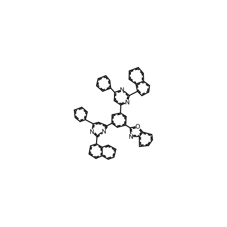 c1ccc(-c2cc(-c3cc(-c4cc(-c5ccccc5)nc(-c5cccc6ccccc56)n4)cc(-c4nc5ccccc5o4)c3)nc(-c3cccc4ccccc34)n2)cc1